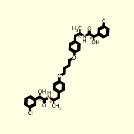 C[C@H](Cc1ccc(OCCCCOc2ccc(C[C@@H](C)NC(=O)[C@H](O)c3cccc(Cl)c3)cc2)cc1)NC(=O)[C@H](O)c1cccc(Cl)c1